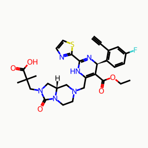 C#Cc1cc(F)ccc1[C@@H]1N=C(c2nccs2)NC(CN2CCN3C(=O)N(CC(C)(C)C(=O)O)C[C@@H]3C2)=C1C(=O)OCC